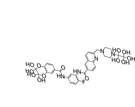 O=C(Nc1ccc(F)c(NC(=O)c2ccc3nc(CN4CCN(C(O)(O)C(O)(O)O)CC4)ccc3c2)c1)c1ccc2c(c1)OC(O)(O)C(O)(O)O2